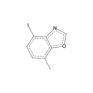 Cc1ccc(I)c2ncoc12